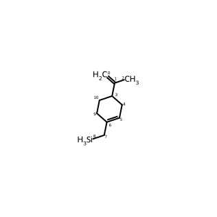 C=C(C)C1CC=C(C[SiH3])CC1